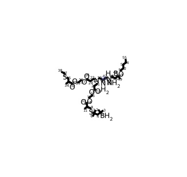 BC(C)(C)CC(C)(C)SCC(C)C(=O)OCCOC(=O)CCN(CCC(=O)OCCOC(=O)C(C)CSCC)C/C(N)=C/N(N)CCC(B)(C)OCCCCC